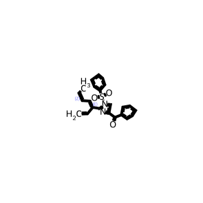 C=C/C(=C\C=C/C)c1nc(C(=O)c2ccccc2)cn1S(=O)(=O)c1ccccc1